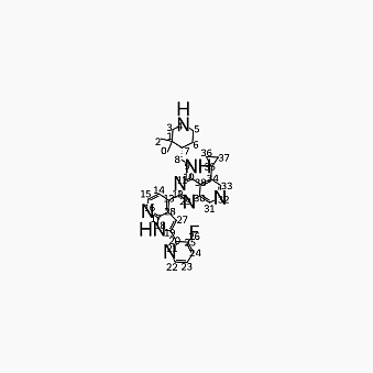 CC1(C)CNCC[C@@H]1CNc1nc(-c2ccnc3[nH]c(-c4ncccc4F)cc23)nc2cncc(C3CC3)c12